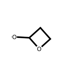 [O]C1CCO1